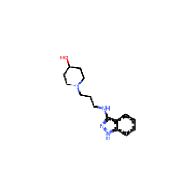 OC1CCN(CCCNc2n[nH]c3ccccc23)CC1